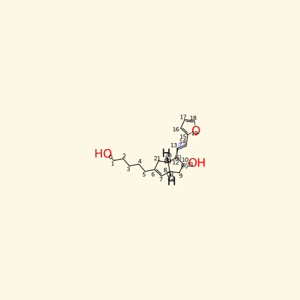 OCCCCCC1=C[C@H]2C[C@@H](O)[C@H](/C=C/c3ccco3)[C@H]2C1